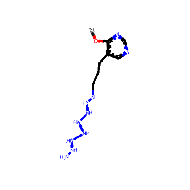 CCOc1ncncc1CCCNNNNNNNN